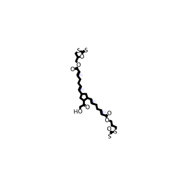 O=C(/C=C/CC/C=C/C1CC(/C=C/CC/C=C/C(=O)OCC2CSC(=S)O2)C(C(=O)CO)C1)OCC1CSC(=S)O1